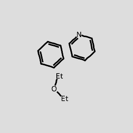 CCOCC.c1ccccc1.c1ccncc1